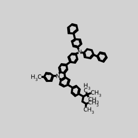 Cc1ccc(-n2c3ccc(-c4ccc(C(CC(C)C)C(C)(C)C)cc4)cc3c3cc(-c4ccc(N(C5=CC=C(c6ccccc6)CC5)c5ccc(-c6ccccc6)cc5)cc4)ccc32)cc1